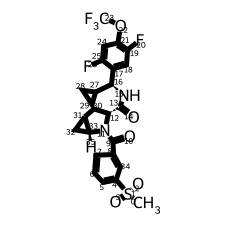 CS(=O)(=O)c1cccc(C(=O)N2[C@@H](C(=O)N[C@@H](c3cc(F)c(OC(F)(F)F)cc3F)C3CC3)CC3C[C@H]32)c1